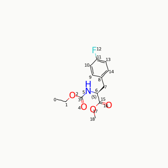 CCOC(=O)N[C@@H](Cc1ccc(F)cc1)C(=O)OC